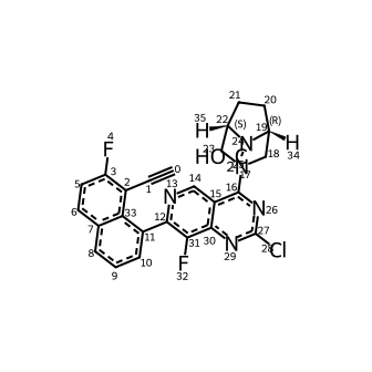 C#Cc1c(F)ccc2cccc(-c3ncc4c(N5C[C@H]6CC[C@@H](C5)N6C(=O)O)nc(Cl)nc4c3F)c12